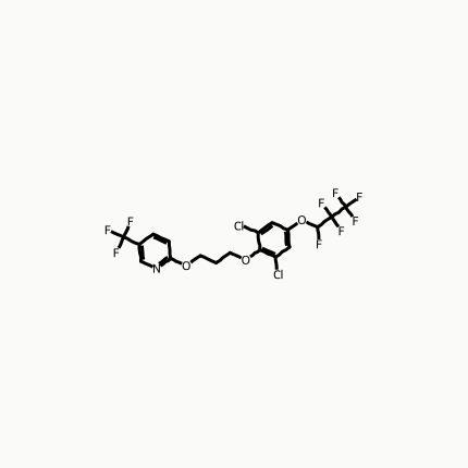 FC(Oc1cc(Cl)c(OCCCOc2ccc(C(F)(F)F)cn2)c(Cl)c1)C(F)(F)C(F)(F)F